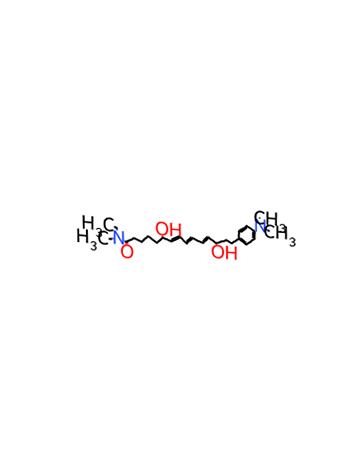 CCN(CC)C(=O)CCCCC(O)/C=C/C=C/C=C/C(O)CCc1ccc(N(C)C)cc1